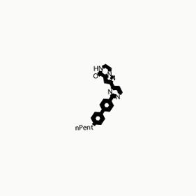 CCCCCc1ccc(-c2ccc(-c3nccc(-c4cc5n(n4)CCNC5=O)n3)cc2)cc1